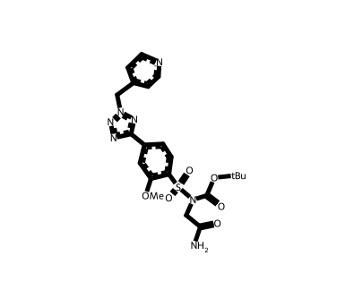 COc1cc(-c2nnn(Cc3ccncc3)n2)ccc1S(=O)(=O)N(CC(N)=O)C(=O)OC(C)(C)C